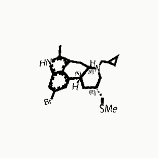 CSC[C@@H]1C[C@@H]2c3cc(Br)cc4[nH]c(C)c(c34)C[C@H]2N(CC2CC2)C1